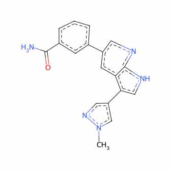 Cn1cc(-c2c[nH]c3ncc(-c4cccc(C(N)=O)c4)cc23)cn1